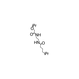 CC(C)CCCC(=O)NCCNC(=O)COC(C)C